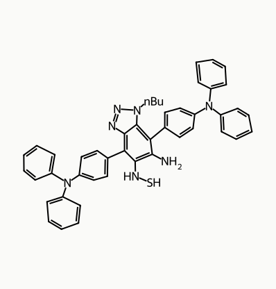 CCCCn1nnc2c(-c3ccc(N(c4ccccc4)c4ccccc4)cc3)c(NS)c(N)c(-c3ccc(N(c4ccccc4)c4ccccc4)cc3)c21